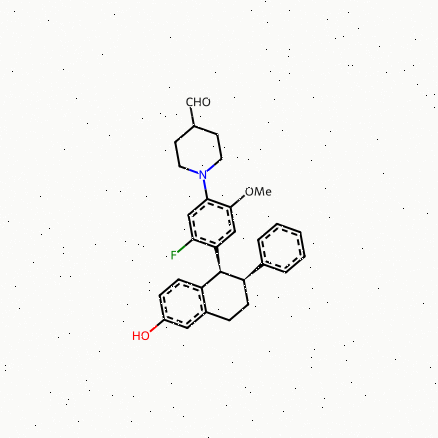 COc1cc([C@@H]2c3ccc(O)cc3CC[C@@H]2c2ccccc2)c(F)cc1N1CCC(C=O)CC1